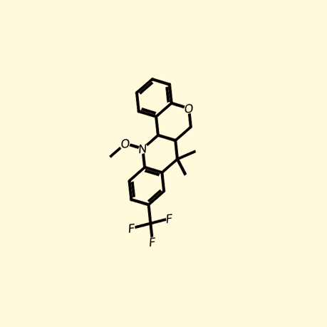 CON1c2ccc(C(F)(F)F)cc2C(C)(C)C2COc3ccccc3C21